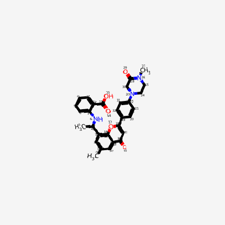 Cc1cc(C(C)Nc2ccccc2C(=O)O)c2oc(-c3ccc(N4CCN(C)C(=O)C4)cc3)cc(=O)c2c1